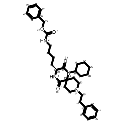 O=C(NCCCC[C@@H]1NC(=O)C2(CCN(CCc3ccccc3)CC2)N(C2CCCCC2)C1=O)OCc1ccccc1